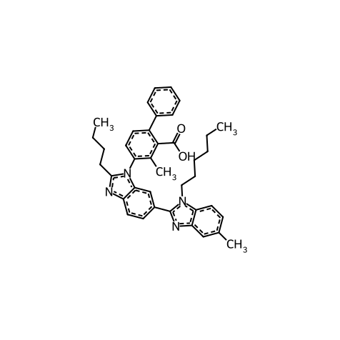 CCCCCCn1c(-c2ccc3nc(CCCC)n(-c4ccc(-c5ccccc5)c(C(=O)O)c4C)c3c2)nc2cc(C)ccc21